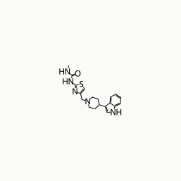 CNC(=O)Nc1nc(CN2CCC(c3c[nH]c4ccccc34)CC2)cs1